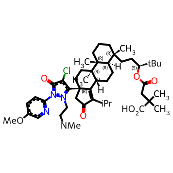 CNCCn1c([C@@]23CC[C@]4(C)[C@H](CC[C@@H]5[C@@](C)(CC[C@H](OC(=O)CC(C)(C)C(=O)O)C(C)(C)C)CCC[C@]54C)C2=C(C(C)C)C(=O)C3)c(Cl)c(=O)n1-c1ccc(OC)cn1